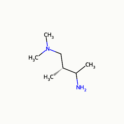 CC(N)[C@H](C)CN(C)C